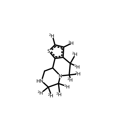 [2H]c1sc2c(c1[2H])C([2H])([2H])C([2H])([2H])N1C2CNC([2H])([2H])C1([2H])[2H]